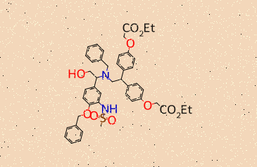 CCOC(=O)COc1ccc(C(CN(Cc2ccccc2)C(CO)c2ccc(OCc3ccccc3)c(NS(C)(=O)=O)c2)c2ccc(OCC(=O)OCC)cc2)cc1